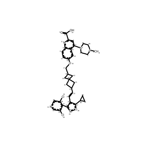 CN1CCN(c2cc(C(=O)O)nc3ccc(OCC4CC5(CC(C=Cc6c(-c7c(Cl)cncc7Cl)noc6C6CC6)C5)C4)cc23)CC1